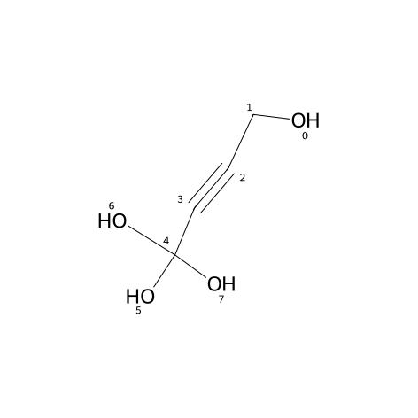 OCC#CC(O)(O)O